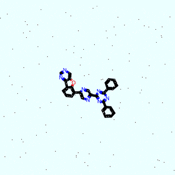 c1ccc(-c2nc(-c3ccccc3)nc(-c3cnc(-c4cccc5c4oc4cncnc45)cn3)n2)cc1